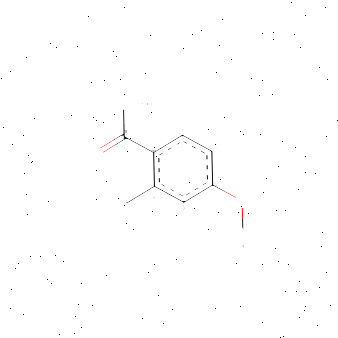 CCCCCCC(=O)c1ccc(OCC)cc1C